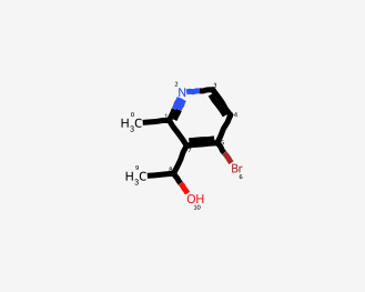 Cc1nccc(Br)c1C(C)O